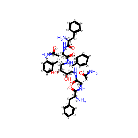 NC(=O)C[C@H](NC(=O)[C@@H](N)Cc1ccccc1)C(=O)N[C@@H](Cc1ccccc1)[C@@H](O)[C@H](O)[C@H](Cc1ccccc1)NC(=O)[C@H](CC(N)=O)NC(=O)[C@@H](N)Cc1ccccc1